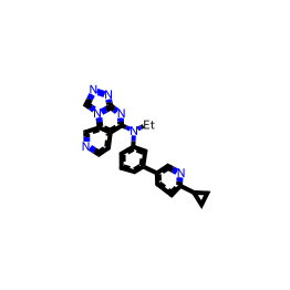 CCN(c1cccc(-c2ccc(C3CC3)nc2)c1)c1nc2nncn2c2cnccc12